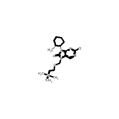 C[C@@H]1CCCC[C@@H]1n1c(=O)n(COCC[Si](C)(C)C)c2cnc(Cl)nc21